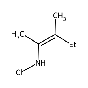 CCC(C)=C(C)NCl